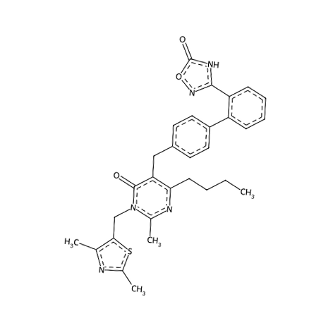 CCCCc1nc(C)n(Cc2sc(C)nc2C)c(=O)c1Cc1ccc(-c2ccccc2-c2noc(=O)[nH]2)cc1